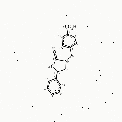 O=C(O)c1ccc(CN2C[C@@H](c3ccccc3)OC2=O)cc1